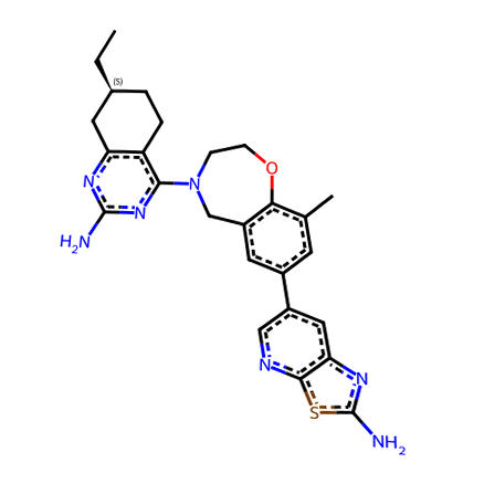 CC[C@H]1CCc2c(nc(N)nc2N2CCOc3c(C)cc(-c4cnc5sc(N)nc5c4)cc3C2)C1